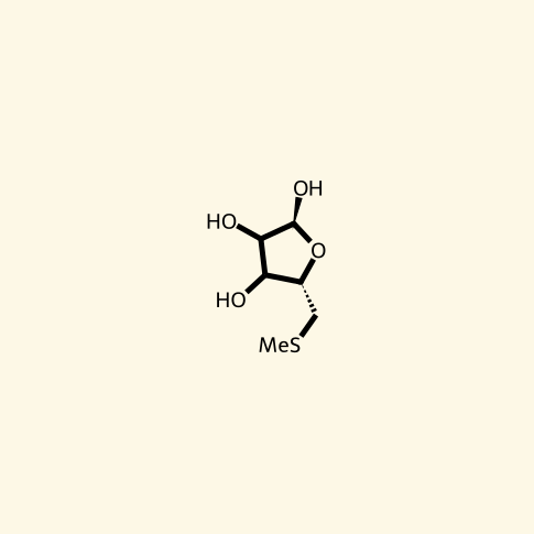 CSC[C@H]1O[C@H](O)C(O)C1O